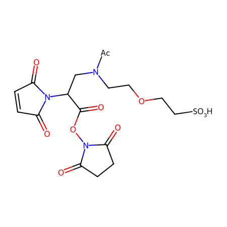 CC(=O)N(CCOCCS(=O)(=O)O)CC(C(=O)ON1C(=O)CCC1=O)N1C(=O)C=CC1=O